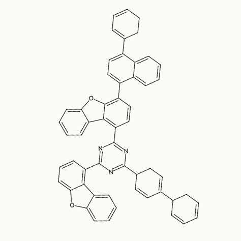 C1=CCCC(c2ccc(-c3ccc(-c4nc(-c5cccc6oc7ccccc7c56)nc(C5C=CC(C6C=CC=CC6)=CC5)n4)c4c3oc3ccccc34)c3ccccc23)=C1